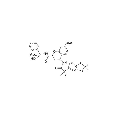 COc1ccc2c(c1)O[C@@H](C(=O)NC(CO)c1ccccc1OC)C[C@@H]2NC(=O)C1(c2ccc3c(c2)OC(F)(F)O3)CC1